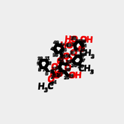 CCOC(=O)[C@H](CC1CCCCC1)OC1C(O)C(CO)OC(OC2CC(C)CC(C)C2OC2OC=C(O)C(O)C2O)C1OC(=O)c1ccccc1